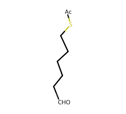 CC(=O)SCCCCCC=O